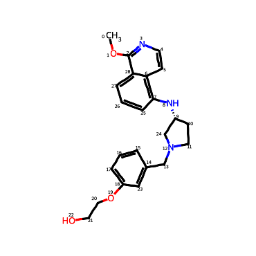 COc1nccc2c(N[C@@H]3CCN(Cc4cccc(OCCO)c4)C3)cccc12